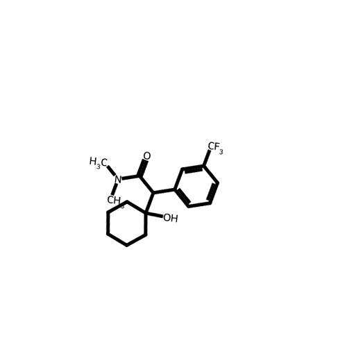 CN(C)C(=O)C(c1cccc(C(F)(F)F)c1)C1(O)CCCCC1